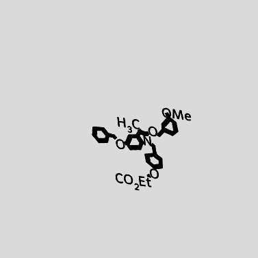 CCOC(=O)COc1ccc(Cn2c(OCc3cccc(OC)c3)c(C)c3cc(OCc4ccccc4)ccc32)cc1